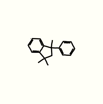 CC1(C)CC(C)(c2ccccc2)c2c[c]ccc21